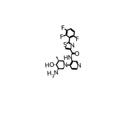 C[C@H]1CN(c2ccncc2NC(=O)c2csc(-c3c(F)ccc(F)c3F)n2)C[C@@H](N)[C@@H]1O